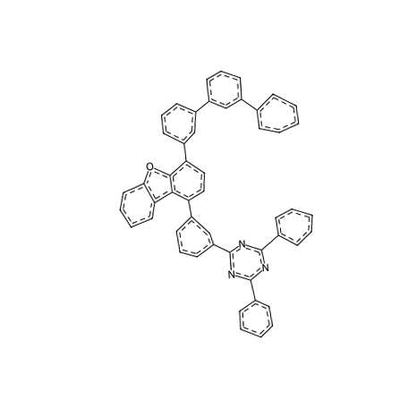 c1ccc(-c2cccc(-c3cccc(-c4ccc(-c5cccc(-c6nc(-c7ccccc7)nc(-c7ccccc7)n6)c5)c5c4oc4ccccc45)c3)c2)cc1